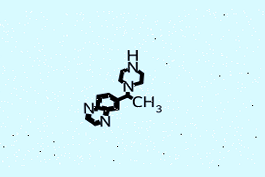 CC(c1ccc2nccnc2c1)N1CCNCC1